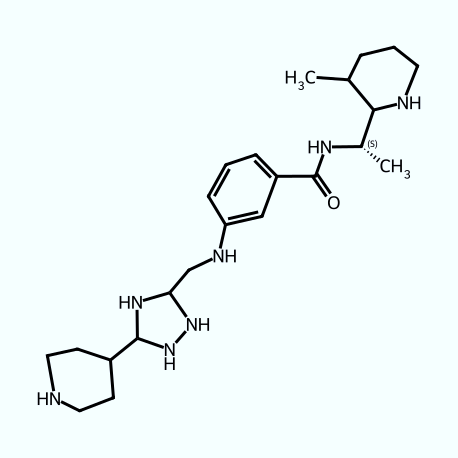 CC1CCCNC1[C@H](C)NC(=O)c1cccc(NCC2NNC(C3CCNCC3)N2)c1